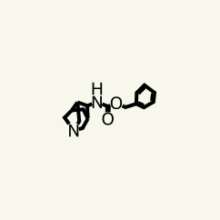 O=C(NC1C2CC3CN(C2)CC31)OCc1ccccc1